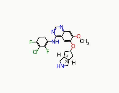 COc1cc2ncnc(Nc3ccc(F)c(Cl)c3F)c2cc1OC1C[C@H]2CNC[C@H]2C1